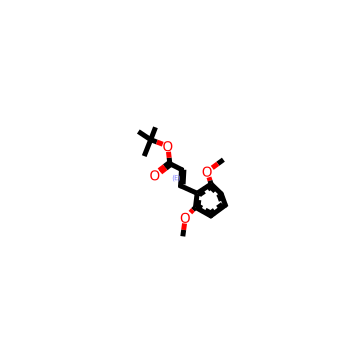 COc1cccc(OC)c1/C=C/C(=O)OC(C)(C)C